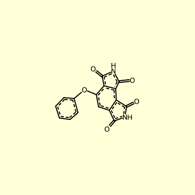 O=c1[nH]c(=O)c2c1cc(Oc1ccccc1)c1c(=O)[nH]c(=O)c12